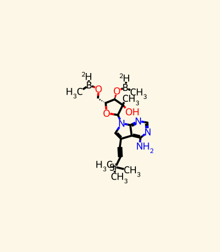 [2H]B(C)OC[C@H]1OC(n2cc(C#C[Si](C)(C)C)c3c(N)ncnc32)C(C)(O)[C@@H]1OB([2H])C